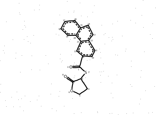 O=C(SC1CCOC1=O)c1ccc2ccc3ccccc3c2c1